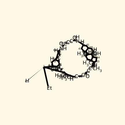 CC[C@H]1[C@@H]2[C@@H](O)CC3C[C@H]4CC[C@]3(C)[C@H]2CC[C@]1(C)[C@H](C)[C@H](C)CCCOC(=O)CC[C@@H](C)[C@H]1CC[C@H]2[C@@H]3[C@@H](O)CC5C[C@@H](CC[C@]5(C)[C@H]3CC[C@]12C)NC(=O)CCCC(=O)N4